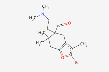 Cc1c(Br)oc2c1CC(C=O)(CCN(C)C)C(C)(C)C2